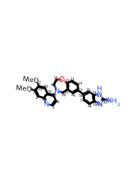 COc1cc2nccc(N3CCOc4ccc(-c5ccc6nc(N)[nH]c6c5)cc4C3)c2cc1OC